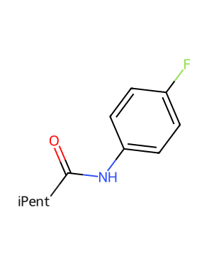 CCCC(C)C(=O)Nc1ccc(F)cc1